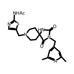 CC(=O)Nc1ncc(CN2CCC3(CC2)NC(=O)N(Cc2cc(C)nc(C)c2)C3=O)s1